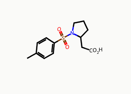 Cc1ccc(S(=O)(=O)N2CCCC2CC(=O)O)cc1